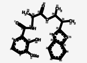 COc1ccnc(C(=O)N[C@@H](C)C(=O)OC(C)C(C)c2nc3ccccc3s2)c1O